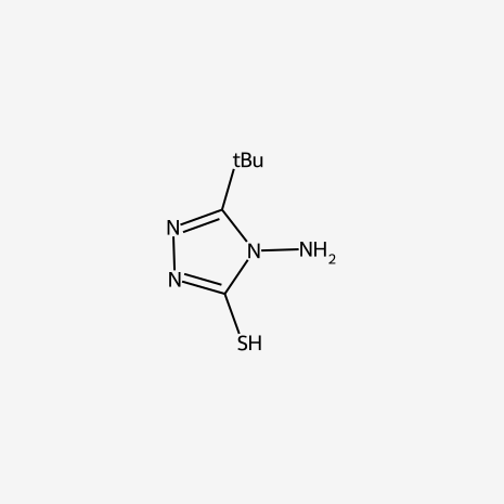 CC(C)(C)c1nnc(S)n1N